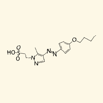 CCCCOc1ccc(/N=N/c2cnn(CCS(=O)(=O)O)c2C)cc1